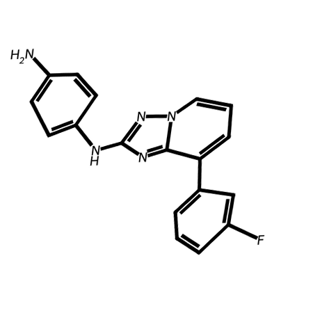 Nc1ccc(Nc2nc3c(-c4cccc(F)c4)cccn3n2)cc1